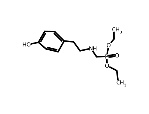 CCOP(=O)(CNCCc1ccc(O)cc1)OCC